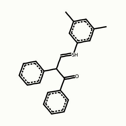 Cc1cc(C)cc([SH]=CC(C(=O)c2ccccc2)c2ccccc2)c1